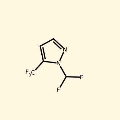 FC(F)n1nc[c]c1C(F)(F)F